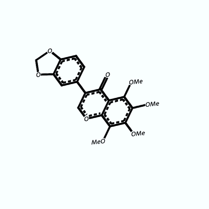 COc1c(OC)c(OC)c2c(=O)c(-c3ccc4c(c3)OCO4)coc2c1OC